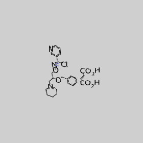 Cl/C(=N\OCC(CN1CCCCC1)OCc1ccccc1)c1cccnc1.O=C(O)C=CC(=O)O